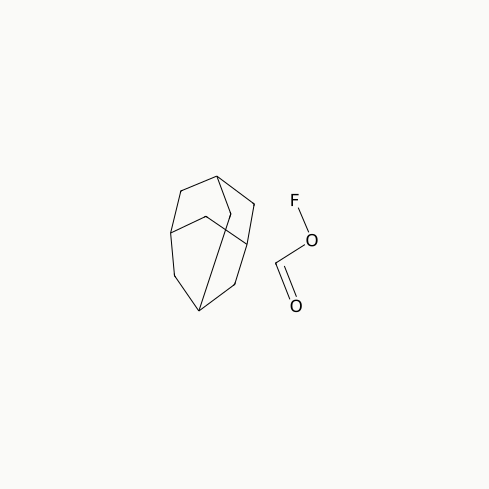 C1C2CC3CC1CC(C2)C3.O=COF